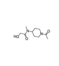 CC(=O)N1CCC(N(C)C(=O)CO)CC1